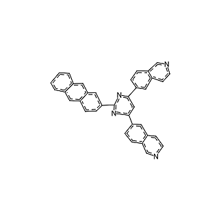 c1ccc2cc3cc(-c4nc(-c5ccc6cnccc6c5)cc(-c5ccc6cnccc6c5)n4)ccc3cc2c1